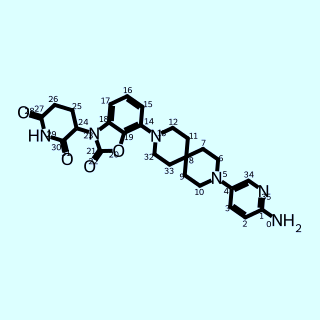 Nc1ccc(N2CCC3(CC2)CCN(c2cccc4c2oc(=O)n4C2CCC(=O)NC2=O)CC3)cn1